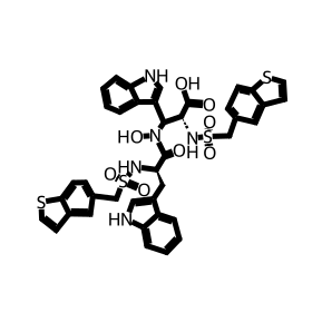 O=C(O)[C@H](NS(=O)(=O)Cc1ccc2sccc2c1)C(c1c[nH]c2ccccc12)N(O)C(=O)[C@@H](Cc1c[nH]c2ccccc12)NS(=O)(=O)Cc1ccc2sccc2c1